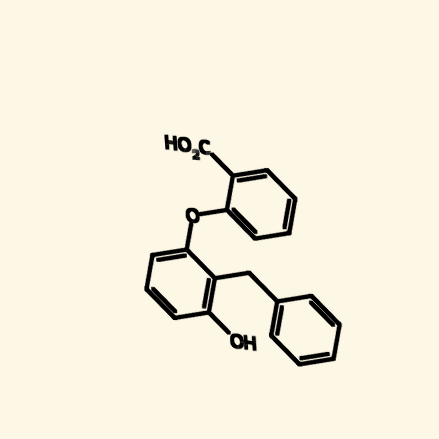 O=C(O)c1ccccc1Oc1cccc(O)c1Cc1ccccc1